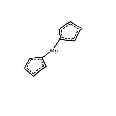 c1c[c]([Mg][c]2ccsc2)cs1